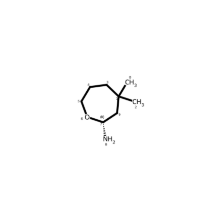 CC1(C)CCCO[C@@H](N)C1